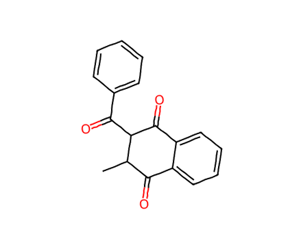 CC1C(=O)c2ccccc2C(=O)C1C(=O)c1ccccc1